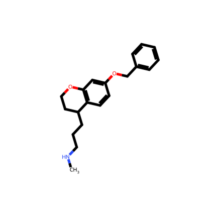 CNCCCC1CCOc2cc(OCc3ccccc3)ccc21